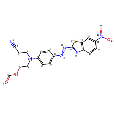 N#CCCN(CCOC=O)c1ccc(/N=N/c2nc3ccc([N+](=O)[O-])cc3s2)cc1